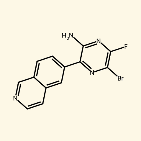 Nc1nc(F)c(Br)nc1-c1ccc2cnccc2c1